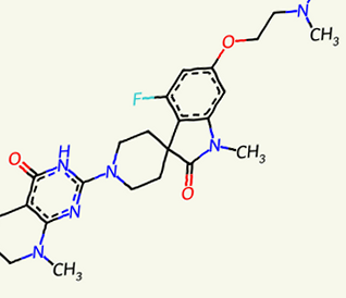 CN(C)CCOc1cc(F)c2c(c1)N(C)C(=O)C21CCN(c2nc3c(c(=O)[nH]2)CCCN3C)CC1